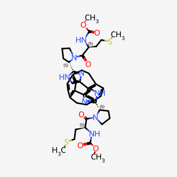 COC(=O)N[C@@H](CCSC)C(=O)N1CCC[C@H]1c1nc(-c2cc3ccc2CCc2ccc(c(-c4c[nH]c([C@@H]5CCCN5C(=O)[C@H](CCSC)NC(=O)OC)n4)c2)CC3)c[nH]1